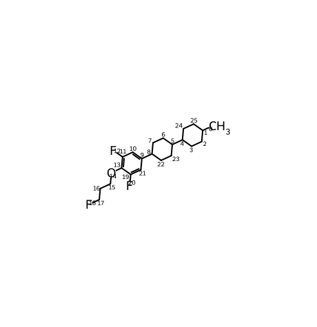 CC1CCC(C2CCC(c3cc(F)c(OCCCF)c(F)c3)CC2)CC1